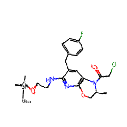 C[C@H]1COc2nc(NCCO[Si](C)(C)C(C)(C)C)c(Cc3ccc(F)cc3)cc2N1C(=O)CCl